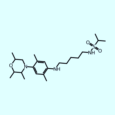 Cc1cc(N2CC(C)OC(C)C2C)c(C)cc1NCCCCCNS(=O)(=O)C(C)C